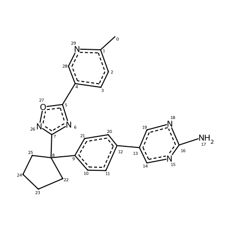 Cc1ccc(-c2nc(C3(c4ccc(-c5cnc(N)nc5)cc4)CCCC3)no2)cn1